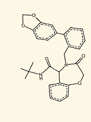 CC(C)(C)NC(=O)C1c2ccccc2OCC(=O)N1Cc1ccccc1-c1ccc2c(c1)OCO2